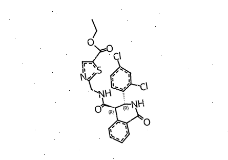 CCOC(=O)c1cnc(CNC(=O)[C@@H]2c3ccccc3C(=O)N[C@H]2c2ccc(Cl)cc2Cl)s1